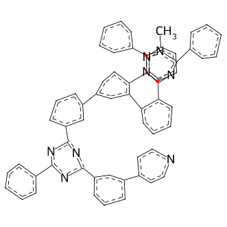 Cc1cccc(-c2ccc(-c3cccc(-c4nc(-c5ccccc5)nc(-c5cccc(-c6ccncc6)c5)n4)c3)cc2-c2ccccc2-c2nc(-c3ccccc3)nc(-c3ccccc3)n2)n1